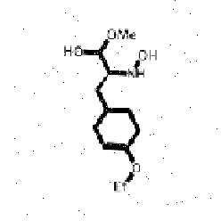 CCOC1=CCC(C[C@H](NO)C(O)OC)CC1